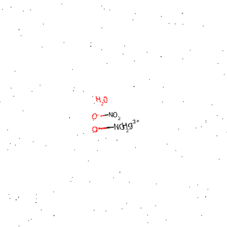 O.O=[N+]([O-])[O-].O=[N+]([O-])[O-].[Hg+2]